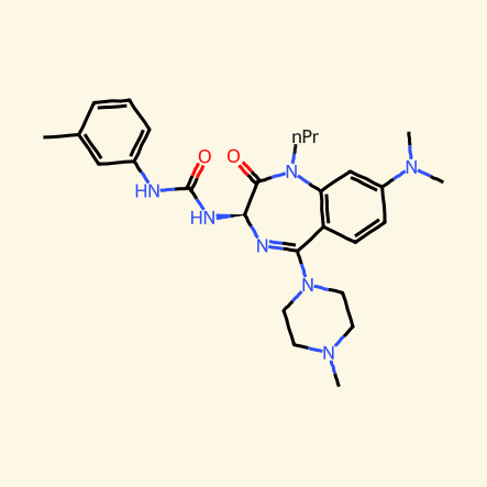 CCCN1C(=O)[C@H](NC(=O)Nc2cccc(C)c2)N=C(N2CCN(C)CC2)c2ccc(N(C)C)cc21